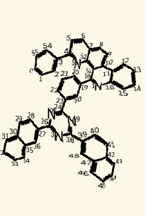 c1ccc(-c2ccc3ccc4c5ccccc5nc(-c5cccc(-c6nc(-c7ccc8ccccc8c7)nc(-c7ccc8ccccc8c7)n6)c5)c4c3n2)cc1